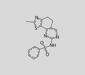 Cc1nc2c(s1)-c1nc(NS(=O)(=O)c3ccccc3)ncc1CC2